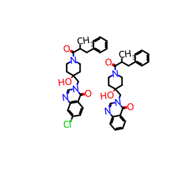 CC(Cc1ccccc1)C(=O)N1CCC(O)(Cn2cnc3cc(Cl)ccc3c2=O)CC1.CC(Cc1ccccc1)C(=O)N1CCC(O)(Cn2cnc3ccccc3c2=O)CC1